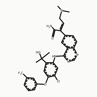 CN(C)CC=C(C(N)=O)c1ccc2ncnc(Nc3cc(Cl)c(Oc4cccc(C(F)(F)F)c4)cc3C(C)(C)O)c2c1